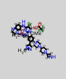 COc1cc(N2CCN(C3CCN(C4CNC4)CC3)CC2)c(-c2cnn(C)c2)cc1Nc1ncc(Br)c(Nc2ccc3nccnc3c2OP(C)C)n1.O=C(O)C(F)(F)F